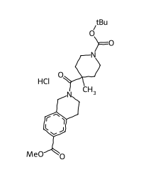 COC(=O)c1ccc2c(c1)CCN(C(=O)C1(C)CCN(C(=O)OC(C)(C)C)CC1)C2.Cl